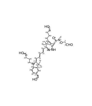 CN(OCC=O)C(=O)C1=C\N/N=C(/C=C/C=C/C=C2/N(CCCSO)c3ccc(SO)cc3C2(C)C)C(C)(C)\C(CCCSO)=C\1